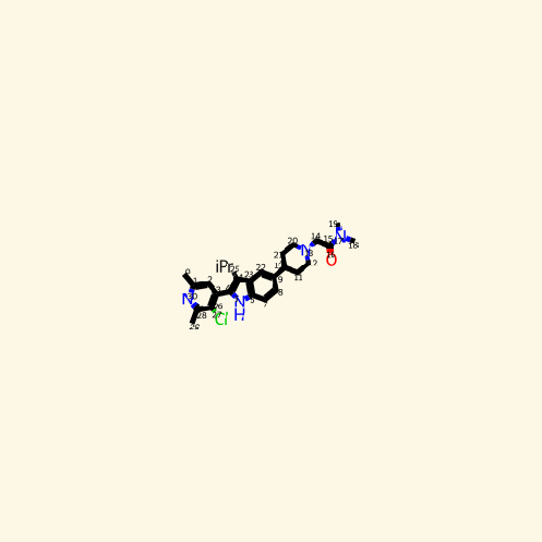 Cc1cc(-c2[nH]c3ccc(C4CCN(CC(=O)N(C)C)CC4)cc3c2C(C)C)c(Cl)c(C)n1